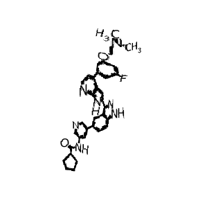 CN(C)CCOc1cc(F)cc(-c2ccnc3[nH]c(-c4n[nH]c5ccc(-c6cncc(NC(=O)C7CCCC7)c6)cc45)cc23)c1